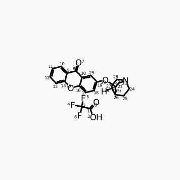 O=C(O)C(F)(F)F.O=c1c2ccccc2oc2ccc(O[C@@H]3CN4CCC3CC4)cc12